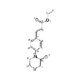 CCOC(=O)C=Cc1ccc(N2CCCCC2=O)cc1